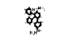 NNc1ccc(-c2ccc(NN)c(-c3ccccc3)c2-c2ccccc2)cc1